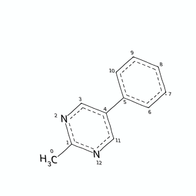 Cc1ncc(-c2c[c]ccc2)cn1